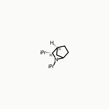 CC(C)[C@@H]1[C@H]2CCC(C2)N1C(C)C